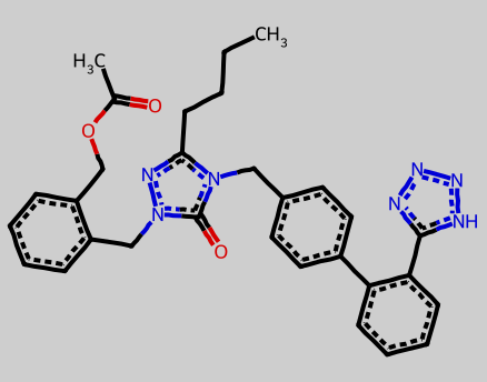 CCCCc1nn(Cc2ccccc2COC(C)=O)c(=O)n1Cc1ccc(-c2ccccc2-c2nnn[nH]2)cc1